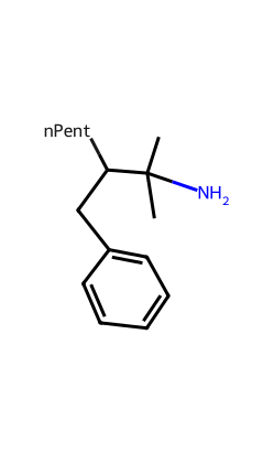 CCCCCC(Cc1ccccc1)C(C)(C)N